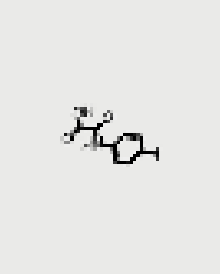 O=C(O)C(=O)Nc1ccc(I)cc1